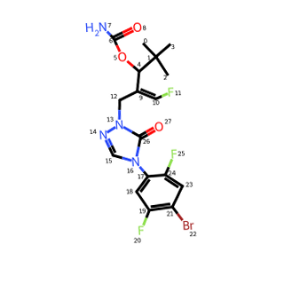 CC(C)(C)C(OC(N)=O)C(=CF)Cn1ncn(-c2cc(F)c(Br)cc2F)c1=O